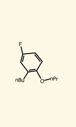 CCCCc1cc(F)ccc1OCCC